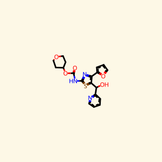 O=C(Nc1nc(-c2ccco2)c(C(O)c2ccccn2)s1)OC1CCOCC1